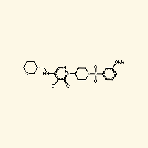 COc1cccc(S(=O)(=O)N2CCC(n3ncc(NC[C@H]4CCCOC4)c(Cl)c3=O)CC2)c1